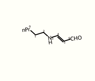 CCCCCN/C=C/C=O